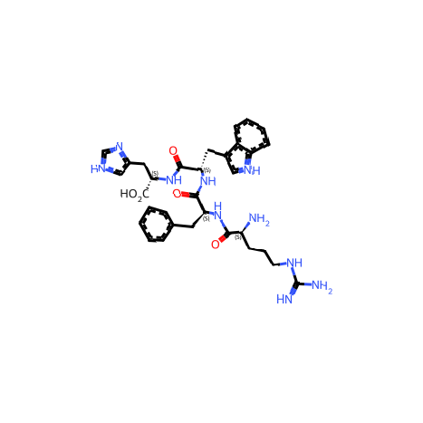 N=C(N)NCCC[C@H](N)C(=O)N[C@@H](Cc1ccccc1)C(=O)N[C@@H](Cc1c[nH]c2ccccc12)C(=O)N[C@@H](Cc1c[nH]cn1)C(=O)O